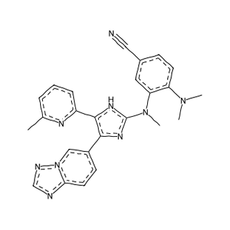 Cc1cccc(-c2[nH]c(N(C)c3cc(C#N)ccc3N(C)C)nc2-c2ccc3ncnn3c2)n1